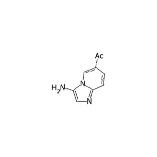 CC(=O)c1ccc2ncc(N)n2c1